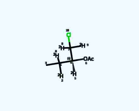 [2H]C([2H])(C)[C@]([2H])(OC(C)=O)C([2H])([2H])Cl